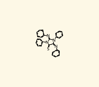 S=C1C(=Nc2ccccc2)N(c2ccccc2)C(=Nc2ccccc2)N1c1ccccc1